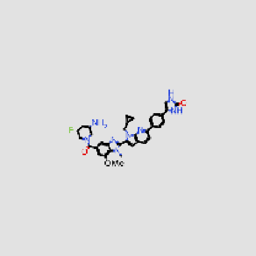 COc1cc(C(=O)N2C[C@H](N)C[C@@H](F)C2)cc2nc(-c3cc4ccc(-c5ccc(-c6c[nH]c(=O)[nH]6)cc5)nc4n3CC3CC3)n(C)c12